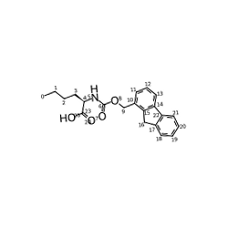 CCCC[C@@H](NC(=O)OCc1cccc2c1Cc1ccccc1-2)C(=O)O